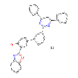 [Li+].[O-]c1ccc(-c2cccc(-c3nc(-c4ccccc4)cc(-c4ccccc4)n3)c2)cc1-c1nc2ccccc2o1